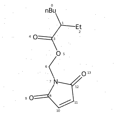 CCCCC(CC)C(=O)OCN1C(=O)C=CC1=O